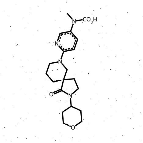 CN(C(=O)O)c1ccc(N2CCC[C@]3(CCN(C4CCOCC4)C3=O)C2)nc1